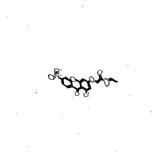 CCOC(=O)COc1cc(Cl)c(C(=O)c2ccc([N+](=O)[O-])cc2)c(Cl)c1